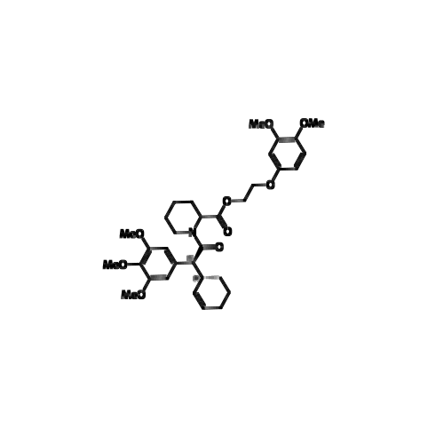 COc1ccc(OCCOC(=O)C2CCCCN2C(=O)[C@H](c2cc(OC)c(OC)c(OC)c2)[C@H]2C=CCCC2)cc1OC